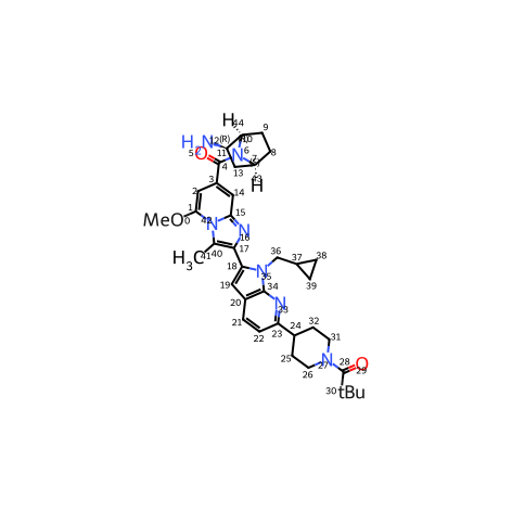 COc1cc(C(=O)N2[C@H]3CC[C@@H]2[C@H](N)C3)cc2nc(-c3cc4ccc(C5CCN(C(=O)C(C)(C)C)CC5)nc4n3CC3CC3)c(C)n12